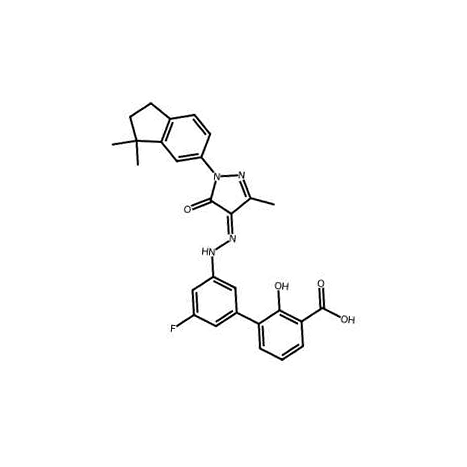 CC1=NN(c2ccc3c(c2)C(C)(C)CC3)C(=O)C1=NNc1cc(F)cc(-c2cccc(C(=O)O)c2O)c1